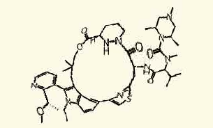 CCn1c(-c2cccnc2[C@H](C)OC)c2c3cc(ccc31)-c1csc(n1)C[C@H](NC(=O)[C@H](C(C)C)N(C)C(=O)N1[C@H](C)CN(C)C[C@@H]1C)C(=O)N1CCC[C@H](N1)C(=O)OCC(C)(C)C2